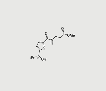 COC(=O)CCNC(=O)c1ccc([C@H](O)C(C)C)s1